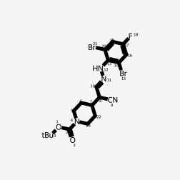 CC(C)(C)OC(=O)N1CCC(C(C#N)/C=N/Nc2c(Br)cc(F)cc2Br)CC1